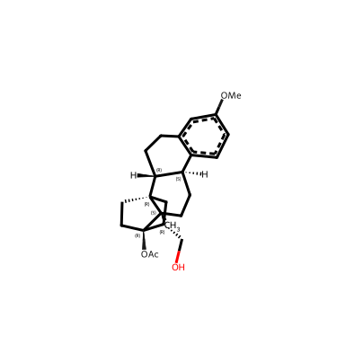 COc1ccc2c(c1)CC[C@@H]1[C@@H]2CC[C@@]2(C)[C@@]13CC[C@@]2(OC(C)=O)[C@@H](CO)C3